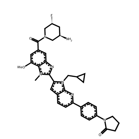 COc1cc(C(=O)N2C[C@H](N)C[C@@H](F)C2)cc2nc(-c3cc4ccc(-c5ccc(N6CCCC6=O)cc5)nc4n3CC3CC3)n(C)c12